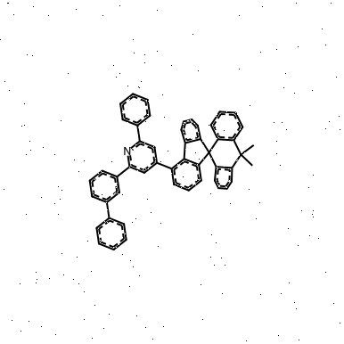 CC1(C)c2ccccc2C2(c3ccccc3-c3c(-c4cc(-c5ccccc5)nc(-c5cccc(-c6ccccc6)c5)c4)cccc32)c2ccccc21